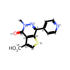 Cn1nc(-c2ccncc2)c2scc(C(=O)O)c2c1=O